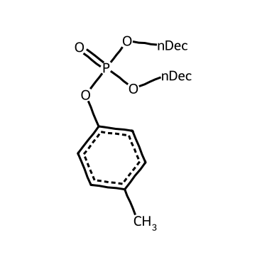 CCCCCCCCCCOP(=O)(OCCCCCCCCCC)Oc1ccc(C)cc1